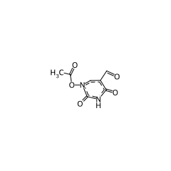 CC(=O)On1cc(C=O)c(=O)[nH]c1=O